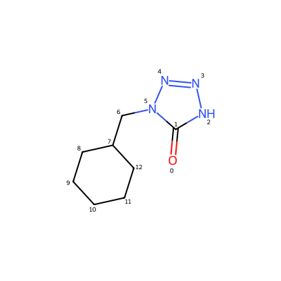 O=c1[nH]nnn1CC1CCCCC1